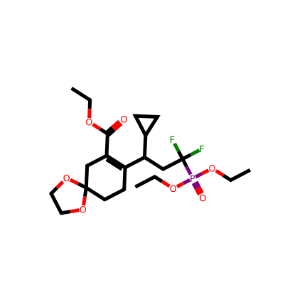 CCOC(=O)C1=C(C(CC(F)(F)P(=O)(OCC)OCC)C2CC2)CCC2(C1)OCCO2